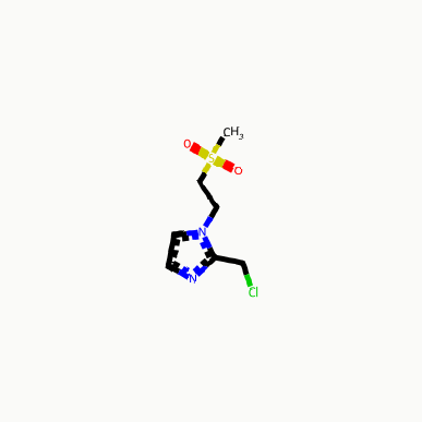 CS(=O)(=O)CCn1ccnc1CCl